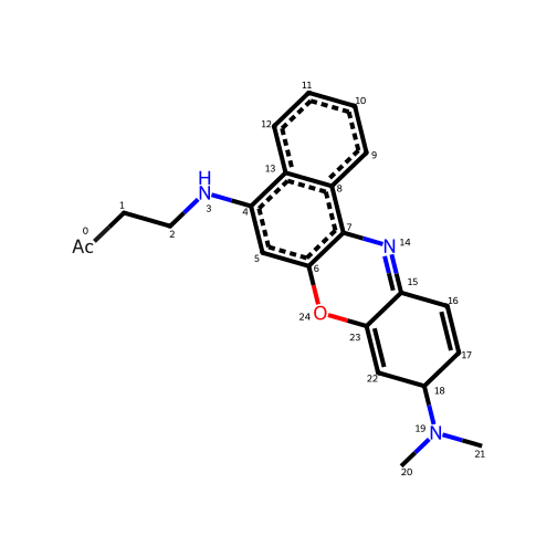 CC(=O)CCNc1cc2c(c3ccccc13)N=C1C=CC(N(C)C)C=C1O2